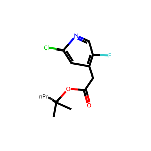 CCCC(C)(C)OC(=O)Cc1cc(Cl)ncc1F